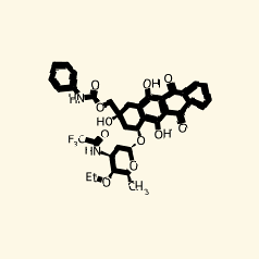 CCO[C@H]1[C@@H](NC(=O)C(F)(F)F)C[C@H](O[C@H]2C[C@](O)(COC(=O)Nc3ccccc3)Cc3c(O)c4c(c(O)c32)C(=O)c2ccccc2C4=O)O[C@H]1C